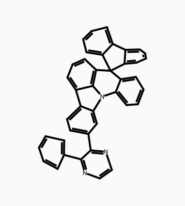 c1ccc(-c2nccnc2-c2ccc3c4cccc5c4n(c3c2)-c2ccccc2C52c3ccccc3-c3ccccc32)cc1